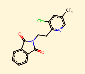 O=C1c2ccccc2C(=O)N1CCc1ncc(C(F)(F)F)cc1Cl